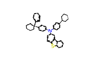 c1ccc(C2(c3ccc(N(c4ccc(C5CCCCC5)cc4)c4ccc5sc6ccccc6c5c4)cc3)CCCCC2)cc1